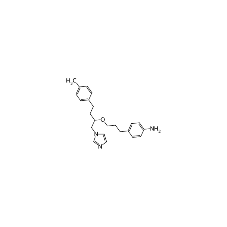 Cc1ccc(CCC(Cn2ccnc2)OCCCc2ccc(N)cc2)cc1